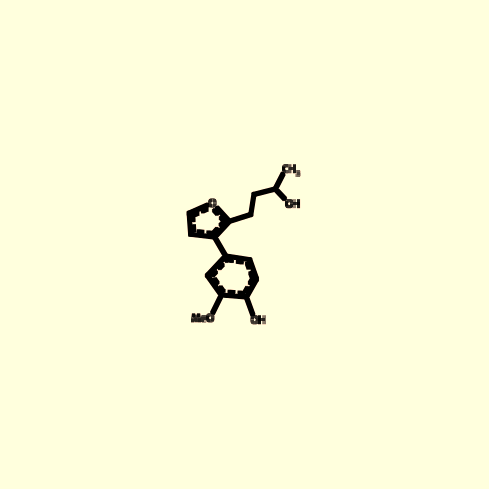 COc1cc(-c2ccoc2CCC(C)O)ccc1O